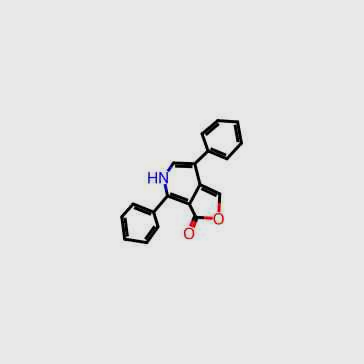 O=c1occ2c(-c3ccccc3)c[nH]c(-c3ccccc3)c1-2